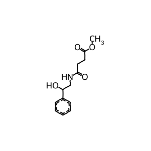 COC(=O)CCC(=O)NCC(O)c1ccccc1